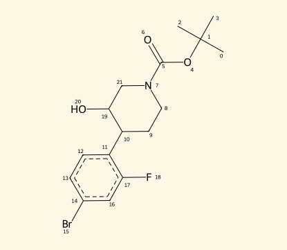 CC(C)(C)OC(=O)N1CCC(c2ccc(Br)cc2F)C(O)C1